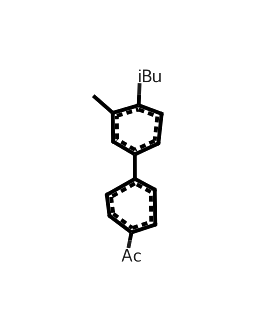 CCC(C)c1ccc(-c2ccc(C(C)=O)cc2)cc1C